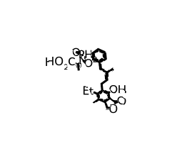 CCc1c(C)c2c(c(O)c1CC=C(C)Cc1ccccc1ON([PH2]=O)[C@@H](C)C(=O)O)C(=O)OC2